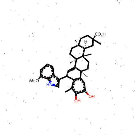 COc1cccc2c(C3C=C4[C@@](C)(CC[C@@]5(C)[C@@H]6C[C@](C)(C(=O)O)CC[C@]6(C)CC[C@]45C)c4cc(O)c(O)c(C)c43)c[nH]c12